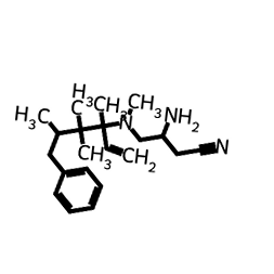 C=CC(C)(N(C)CC(N)CC#N)C(C)(C)C(C)Cc1ccccc1